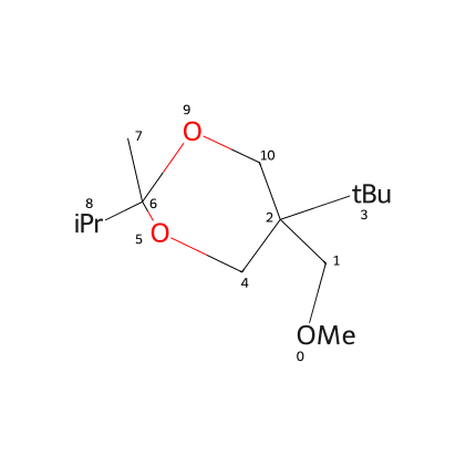 COCC1(C(C)(C)C)COC(C)(C(C)C)OC1